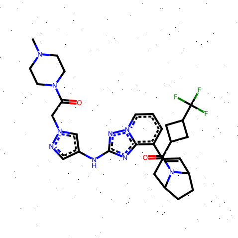 CN1CCN(C(=O)Cn2cc(Nc3nc4c(C5=CC6CCC(C5)N6C(=O)C5CC(C(F)(F)F)C5)cccn4n3)cn2)CC1